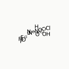 O=C(NC12CC(n3cc([C@H]4C[C@@H](OC(F)(F)F)C4)cn3)(C1)C2)[C@@H]1C[C@@H](O)c2cc(Cl)ccc2O1